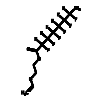 C=COCCOC(=O)C(F)(F)C(F)(F)C(F)(F)C(F)(F)C(F)(F)C(F)(F)C(F)(F)F